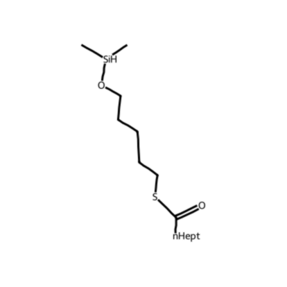 CCCCCCCC(=O)SCCCCCO[SiH](C)C